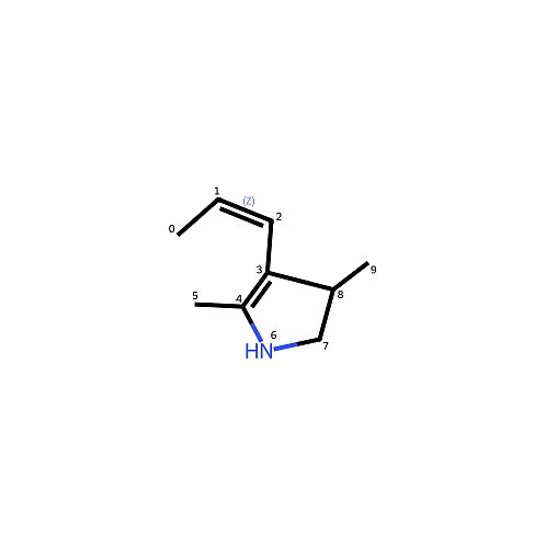 C/C=C\C1=C(C)NCC1C